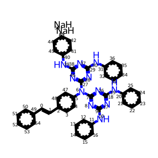 C(=Cc1ccc(N(c2nc(Nc3ccccc3)nc(Nc3ccccc3)n2)c2nc(Nc3ccccc3)nc(Nc3ccccc3)n2)cc1)c1ccccc1.[NaH].[NaH]